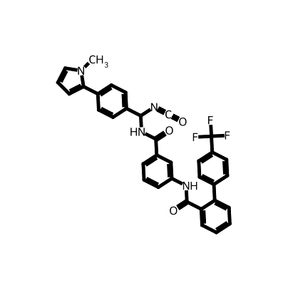 Cn1cccc1-c1ccc(C(N=C=O)NC(=O)c2cccc(NC(=O)c3ccccc3-c3ccc(C(F)(F)F)cc3)c2)cc1